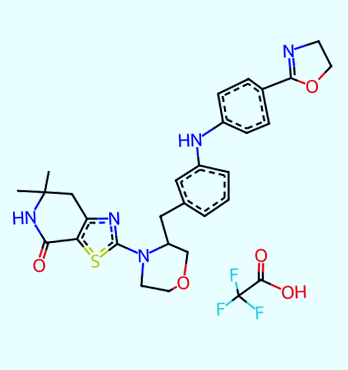 CC1(C)Cc2nc(N3CCOCC3Cc3cccc(Nc4ccc(C5=NCCO5)cc4)c3)sc2C(=O)N1.O=C(O)C(F)(F)F